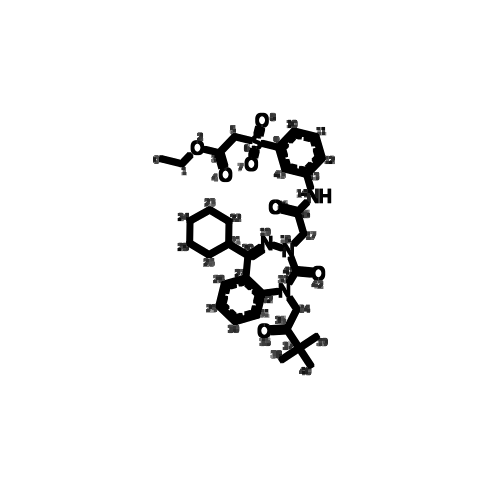 CCOC(=O)CS(=O)(=O)c1cccc(NC(=O)CN2N=C(C3CCCCC3)c3ccccc3N(CC(=O)C(C)(C)C)C2=O)c1